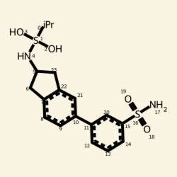 CC(C)S(O)(O)NC1Cc2ccc(-c3cccc(S(N)(=O)=O)c3)cc2C1